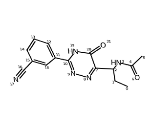 CCC(NC(C)=O)c1nnc(-c2cccc(C#N)c2)[nH]c1=O